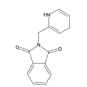 O=C1c2ccccc2C(=O)N1CC1=CCC=CN1